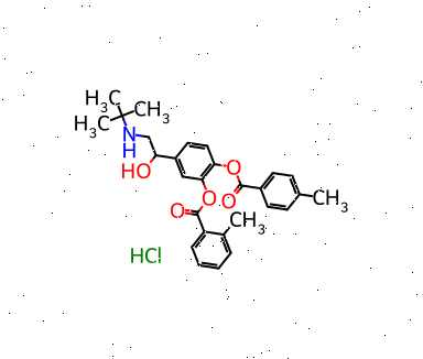 Cc1ccc(C(=O)Oc2ccc(C(O)CNC(C)(C)C)cc2OC(=O)c2ccccc2C)cc1.Cl